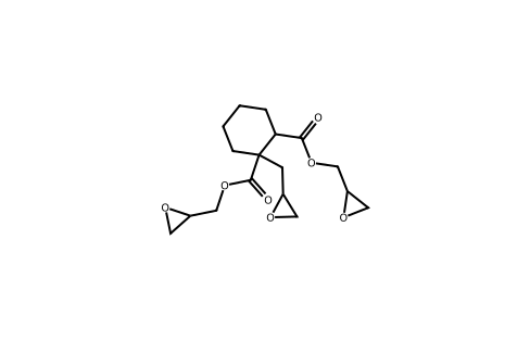 O=C(OCC1CO1)C1CCCCC1(CC1CO1)C(=O)OCC1CO1